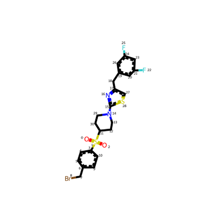 O=S(=O)(c1ccc(CBr)cc1)C1CCN(c2nc(Cc3cc(F)cc(F)c3)cs2)CC1